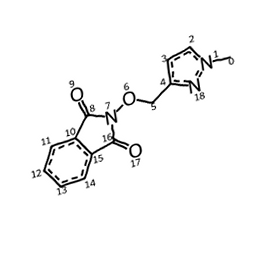 Cn1ccc(CON2C(=O)c3ccccc3C2=O)n1